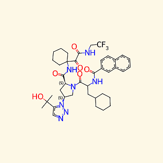 CC(C)(O)c1cnnn1[C@H]1C[C@@H](C(=O)NC2(C(=O)C(=O)NCC(F)(F)F)CCCCC2)N(C(=O)C(CC2CCCCC2)NC(=O)c2ccc3ccccc3c2)C1